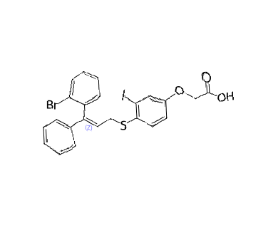 O=C(O)COc1ccc(SC/C=C(/c2ccccc2)c2ccccc2Br)c(I)c1